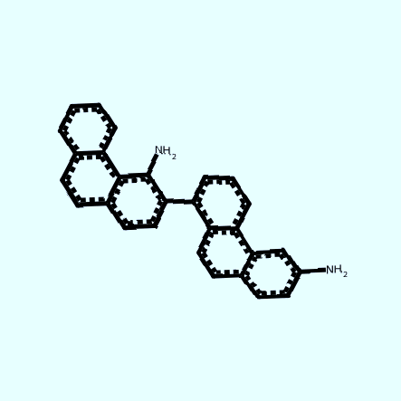 Nc1ccc2ccc3c(-c4ccc5ccc6ccccc6c5c4N)cccc3c2c1